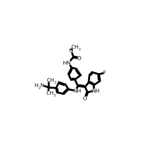 COC(=O)Nc1ccc(/C(Nc2ccc(C(C)(C)N)cc2)=C2/C(=O)Nc3cc(F)ccc32)cc1